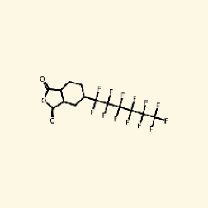 O=C1OC(=O)C2CC(C(F)(F)C(F)(F)C(F)(F)C(F)(F)C(F)(F)C(F)(F)F)CCC12